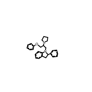 c1ccc(OCC(CN2c3ccccc3CC2c2ccccc2)N2CCCC2)cc1